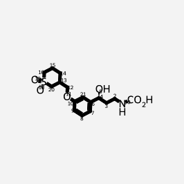 O=C(O)NCC[C@@H](O)c1cccc(OCC2CCCS(=O)(=O)C2)c1